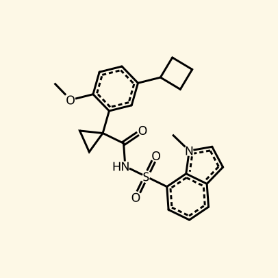 COc1ccc(C2CCC2)cc1C1(C(=O)NS(=O)(=O)c2cccc3ccn(C)c23)CC1